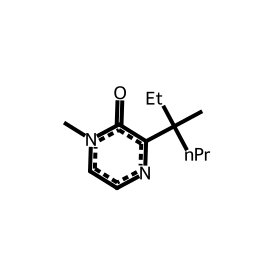 CCCC(C)(CC)c1nccn(C)c1=O